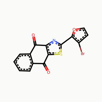 O=C1c2ccccc2C(=O)c2sc(-c3occc3Br)nc21